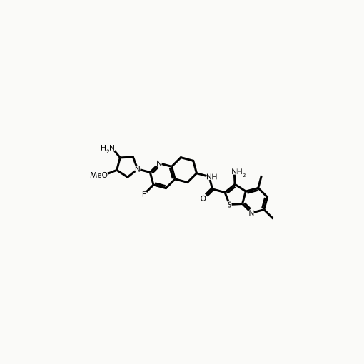 COC1CN(c2nc3c(cc2F)CC(NC(=O)c2sc4nc(C)cc(C)c4c2N)CC3)CC1N